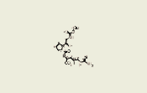 CC(C)(C)OC(=O)NCC(=O)N1CCC[C@H]1C(=O)N[C@@H](CCCNC(=N)N)C(=O)O